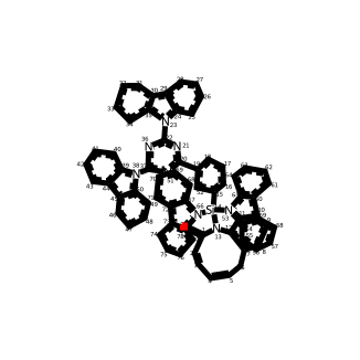 C=C1/C=C\C=C/Cc2ccccc2N1[Si](c1cccc(-c2nc(-n3c4ccccc4c4ccccc43)nc(-n3c4ccccc4c4ccccc43)n2)c1)(n1c2ccccc2c2ccccc21)n1c2ccccc2c2ccccc21